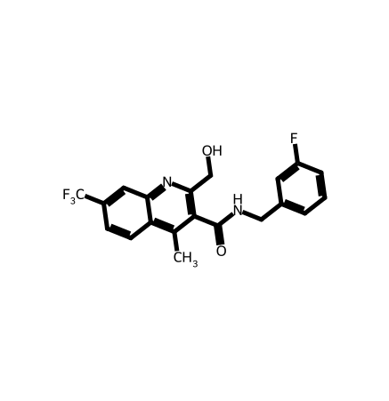 Cc1c(C(=O)NCc2cccc(F)c2)c(CO)nc2cc(C(F)(F)F)ccc12